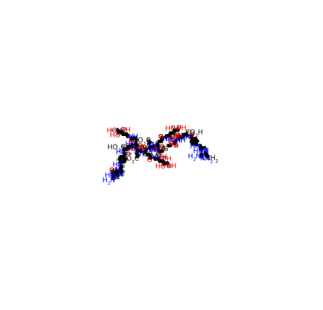 C=C=C(N=C(N)N)/N=C\C(=N)CNc1ccc(C(=O)N[C@@H](CCC(=O)NNC(=O)OCCSSC[C@@H](NC(=O)[C@H](CCC(=O)NC[C@H](O)C[C@H](O)[C@H](O)CO)NC(=O)[C@@H](CCC(=O)O)NC(=O)[C@H](CCC(=O)NC[C@H](O)C[C@H](O)[C@H](O)CO)NC(=O)[C@@H](CCC(=O)O)NC(=O)[C@H](CCC(=O)NCCC[C@H](O)[C@H](O)CO)NC(=O)CC[C@@H](NC(=O)c2ccc(NCc3cnc4nc(N)[nH]c(=O)c4n3)cc2)C(=O)O)C(=O)O)C(=O)O)cc1